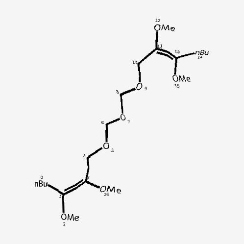 CCCCC(OC)=C(COCOCOCC(OC)=C(CCCC)OC)OC